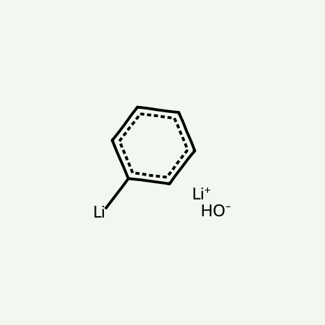 [Li+].[Li][c]1ccccc1.[OH-]